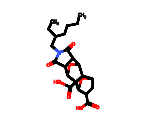 CCCCC(CC)CN1C(=O)C2C3OC(C2C1=O)C1(C(=O)O)C2OC(CC2C(=O)O)C31